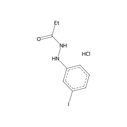 CCC(=O)NNc1cccc(I)c1.Cl